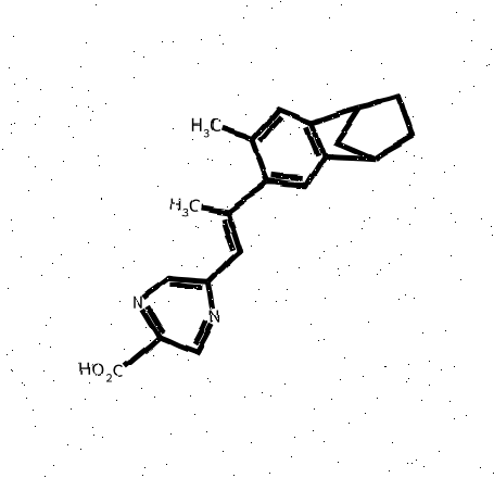 C/C(=C\c1cnc(C(=O)O)cn1)c1cc2c(cc1C)C1CCC2C1